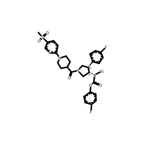 CCN(C(=O)Oc1ccc(F)cc1)[C@@H]1CN(C(=O)C2CCN(c3ccc(S(C)(=O)=O)cn3)CC2)C[C@H]1c1ccc(F)cc1